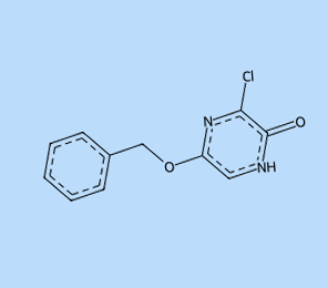 O=c1[nH]cc(OCc2ccccc2)nc1Cl